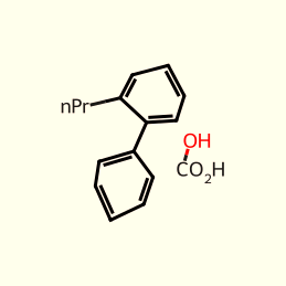 CCCc1ccccc1-c1ccccc1.O=C(O)O